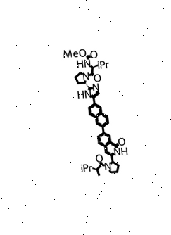 COC(=O)N[C@H](C(=O)N1CCC[C@H]1c1ncc(-c2ccc3cc(-c4ccc5cc(C6CCCN6C(=O)[C@@H](C)C(C)C)[nH]c(=O)c5c4)ccc3c2)[nH]1)C(C)C